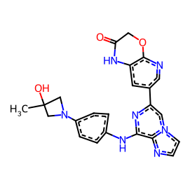 CC1(O)CN(c2ccc(Nc3nc(-c4cnc5c(c4)NC(=O)CO5)cn4ccnc34)cc2)C1